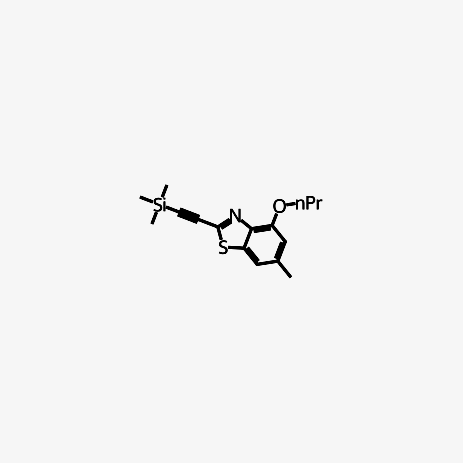 CCCOc1cc(C)cc2sc(C#C[Si](C)(C)C)nc12